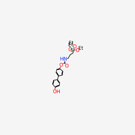 CCO[Si](CCCNC(=O)Oc1ccc(-c2ccc(O)cc2)cc1)(OCC)OCC